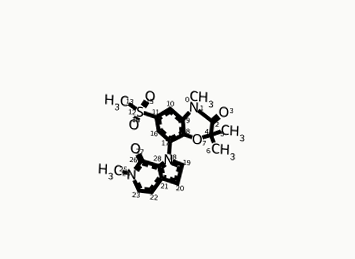 CN1C(=O)C(C)(C)Oc2c1cc(S(C)(=O)=O)cc2-n1ccc2ccn(C)c(=O)c21